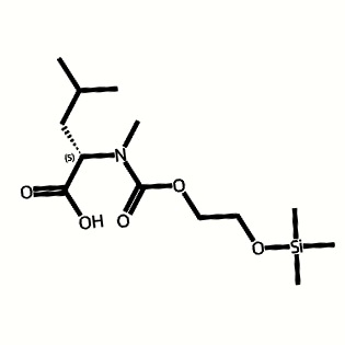 CC(C)C[C@@H](C(=O)O)N(C)C(=O)OCCO[Si](C)(C)C